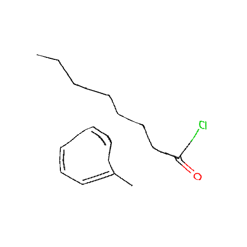 CCCCCCCC(=O)Cl.Cc1ccccc1